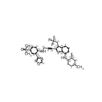 CN1CC[C@@H](Nc2cccc3c(CC(F)(F)F)c(C#CCNc4ccc(P(C)(C)=O)cc4-c4ncon4)sc23)[C@@H](F)C1